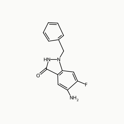 Nc1cc2c(=O)[nH]n(Cc3ccccc3)c2cc1F